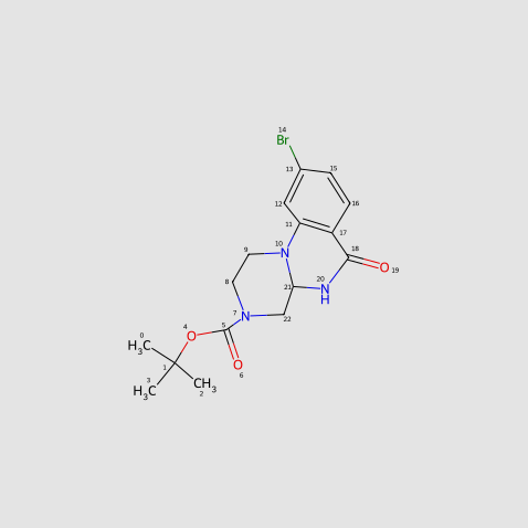 CC(C)(C)OC(=O)N1CCN2c3cc(Br)ccc3C(=O)NC2C1